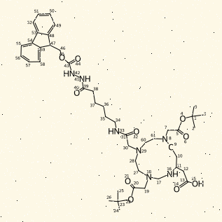 CC(C)(C)OC(=O)CN1CCC(CC(=O)O)NCN(CC(=O)OC(C)(C)C)CCN(CC(=O)NCCCCCC(=O)NNC(=O)OCC2c3ccccc3-c3ccccc32)CC1